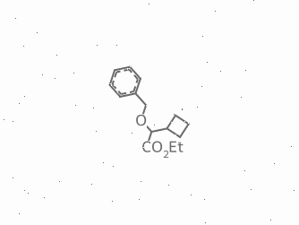 CCOC(=O)C(OCc1ccccc1)C1CCC1